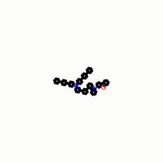 c1ccc(-c2ccc(-c3ccc(N(c4ccc(-c5ccc(-c6ccccc6)cc5)cc4)c4cccc(-c5cccc(-c6cccc7c6c6ccccc6n7-c6ccc7c(c6)oc6ccccc67)c5)c4)cc3)cc2)cc1